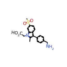 Cc1c(-c2ccc(CN)cc2)c2ccc(S(C)(=O)=O)cc2n1CC(=O)O